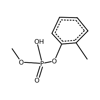 COP(=O)(O)Oc1ccccc1C